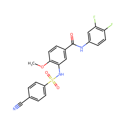 COc1ccc(C(=O)Nc2ccc(F)c(F)c2)cc1NS(=O)(=O)c1ccc(C#N)cc1